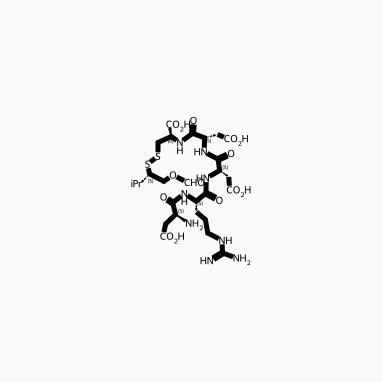 CC(C)[C@@H](COC=O)SSC[C@H](NC(=O)[C@H](CC(=O)O)NC(=O)[C@H](CC(=O)O)NC(=O)[C@H](CCCNC(=N)N)NC(=O)[C@@H](N)CC(=O)O)C(=O)O